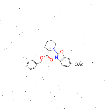 CC(=O)Oc1ccc2nc(N3CCCC[C@H]3C(=O)OCc3ccccc3)oc2c1